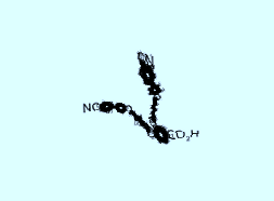 N#Cc1ccc(-c2ccc(OCCCCCCOc3ccc(C(=O)O)cc3OCCCCCCOc3ccc(-c4ccc(C#N)cc4)cc3)cc2)cc1